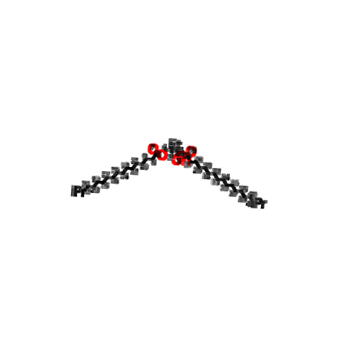 CCC(CO)(COC(=O)CCCCCCCCCCCCCCC(C)C)COC(=O)CCCCCCCCCCCCCCC(C)C